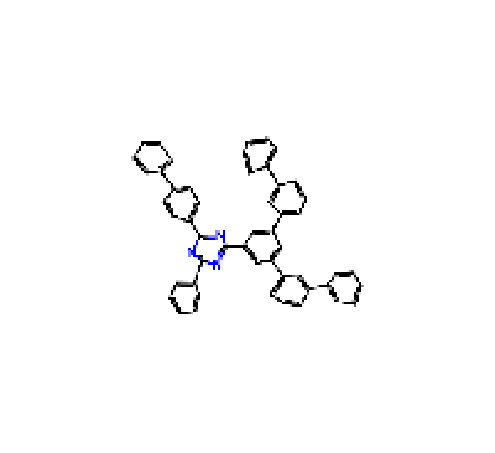 c1ccc(-c2ccc(-c3nc(-c4ccccc4)nc(-c4cc(-c5cccc(-c6ccccc6)c5)cc(-c5cccc(-c6ccccc6)c5)c4)n3)cc2)cc1